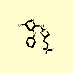 CS(=O)(=O)CCc1csc(Nc2ncc(Br)cc2Oc2ccccc2)n1